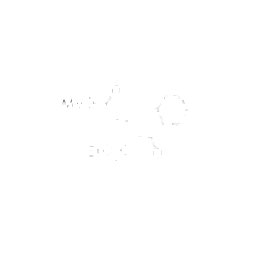 CCOC(=O)C(CCC(=O)OC)C(=O)c1ccccc1